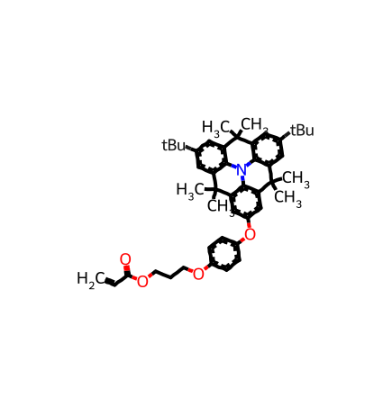 C=CC(=O)OCCCOc1ccc(Oc2cc3c4c(c2)C(C)(C)c2cc(C(C)(C)C)cc5c2N4c2c(cc(C(C)(C)C)cc2C5(C)C)C3(C)C)cc1